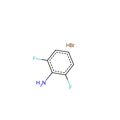 Br.Nc1c(F)cccc1F